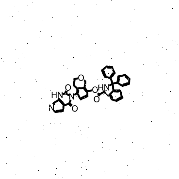 C[C@H](NC(c1ccccc1)(c1ccccc1)c1ccccc1)C(=O)Oc1ccc(-n2c(=O)[nH]c3cnccc3c2=O)c2c1COCC2